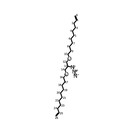 C=CCCCCCCCCCOCC(COCCCCCCCCCC=C)N=[N+]=[N-]